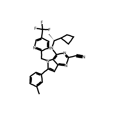 Cc1cccc(-c2cc3nc(C#N)nc(N[C@H](C)C4CCC4)c3n2Cc2ccc(C(F)(F)F)cn2)c1